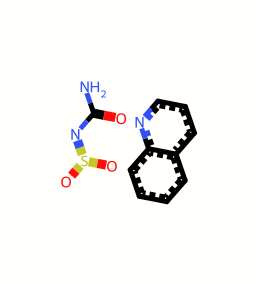 NC(=O)N=S(=O)=O.c1ccc2ncccc2c1